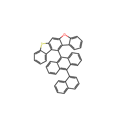 c1ccc2c(-c3c4ccccc4c(-c4c5c(cc6sc7ccccc7c46)oc4ccccc45)c4ccccc34)cccc2c1